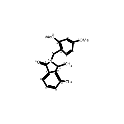 COc1ccc(CN2C(=O)c3cccc(Cl)c3C2C)c(OC)c1